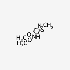 Cc1nc2ccc(NC(=O)OC(C)C)cc2s1